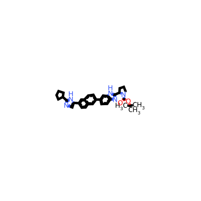 CC(C)(C)OC(=O)N1CCCC1c1nc2ccc(-c3ccc4cc(-c5cnc(C6CCCC6)[nH]5)ccc4c3)cc2[nH]1